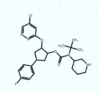 CC(C)(C)N(C(=O)OC1CC(c2ccc(F)cc2)CC1Oc1cc(Cl)cnn1)C1CCCNC1